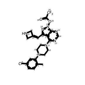 Cc1ccc(Cl)cc1N1CCN(c2ncnc3c2c(C=C2CNC2)nn3OC(=O)C(F)(F)F)CC1